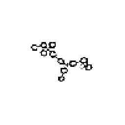 c1ccc(-c2ccc(N(c3ccc(-c4ccc5c(c4)-c4ccccc4C5(c4ccccc4)c4cccc(-c5ccccc5)c4)cc3)c3ccc(-c4cccc5c4oc4ccccc45)cc3)cc2)cc1